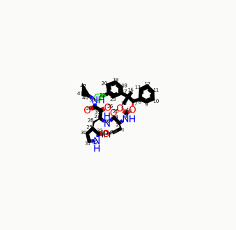 CC(C)C[C@H](NC(=O)O[C@H](c1ccccc1)C(C)(C)c1cccc(Cl)c1)C(=O)N[C@@H](C[C@@H]1CCNC1=O)C(=O)C(=O)NC1CC1